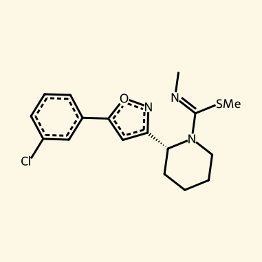 CN=C(SC)N1CCCC[C@@H]1c1cc(-c2cccc(Cl)c2)on1